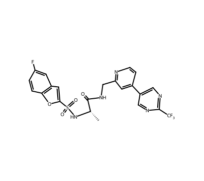 C[C@H](NS(=O)(=O)c1cc2cc(F)ccc2o1)C(=O)NCc1cc(-c2cnc(C(F)(F)F)nc2)ccn1